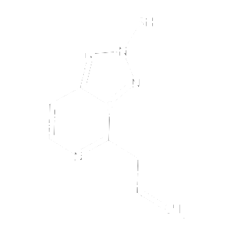 C=CCC1=NC=CC2=NN(S)N=S21